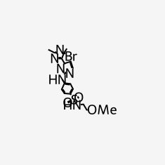 COCCNS(=O)(=O)c1ccc(Nc2nccc(C3=NC(C)=NC3(C)Br)n2)cc1